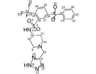 O=S(=O)(NC1CCN(Cc2nn[nH]n2)CC1)c1cc(S(=O)(=O)c2ccccc2)ccc1C(F)(F)F